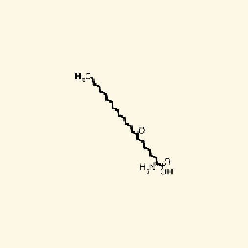 CCCCCCCCCCCCCCCC(=O)CCCCCC[C@H](N)C(=O)O